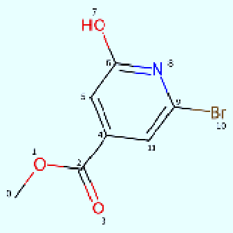 COC(=O)c1cc(O)nc(Br)c1